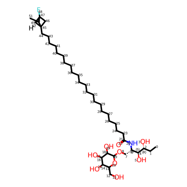 CC[C@@H](O)[C@@H](O)[C@H](COC1OC(CO)C(O)C(O)C1O)NC(=O)CCCCCCCCCCCCCCCCCCCCCCC12CC(F)(C1)[C@@H]2C